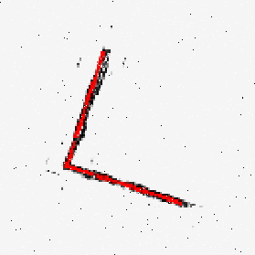 [B].[B].[B].[B].[B].[B].[B].[B].[B].[B].[B].[B].[B].[B].[Cu].[Cu].[Cu].[Cu].[Cu].[Cu].[Cu].[Cu].[Cu].[Cu].[Cu].[Cu].[Cu].[Cu].[Fe].[Fe].[Fe].[Fe].[Fe].[Fe].[Fe].[Fe].[Fe].[Fe].[Fe].[Fe].[Fe].[Fe].[In].[In].[In].[In].[In].[In].[In].[In].[In].[In].[In].[In].[In].[In].[Ni].[Ni].[Ni].[Ni].[Ni].[Ni].[Ni].[Ni].[Ni].[Ni].[Ni].[Ni].[Ni].[Ni].[Ni].[Ni].[Ni].[Ni].[Ni].[Ni].[Ni].[Ni].[Ni].[Ni].[Ni].[Ni].[Ni].[Ni].[Ni].[Ni].[Si].[Si].[Si].[Si].[Si].[Si].[Si].[Si].[Si].[Si].[Si].[Si].[Si].[Si].[Zn].[Zn].[Zn].[Zn].[Zn].[Zn].[Zn].[Zn].[Zn].[Zn].[Zn].[Zn].[Zn].[Zn]